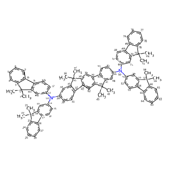 CC1(C)c2ccccc2-c2ccc(N(c3ccc4c(c3)C(C)(C)c3ccccc3-4)c3ccc4c(c3)C(C)(C)c3cc5c(cc3-4)C(C)(C)c3cc(N(c4ccc6c(c4)C(C)(C)c4ccccc4-6)c4ccc6c(c4)C(C)(C)c4ccccc4-6)ccc3-5)cc21